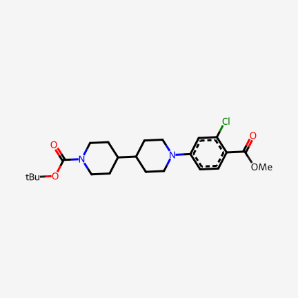 COC(=O)c1ccc(N2CCC(C3CCN(C(=O)OC(C)(C)C)CC3)CC2)cc1Cl